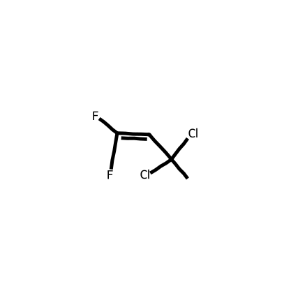 CC(Cl)(Cl)C=C(F)F